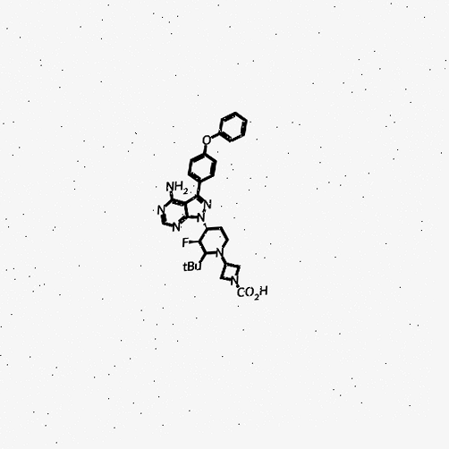 CC(C)(C)C1[C@@H](F)[C@H](n2nc(-c3ccc(Oc4ccccc4)cc3)c3c(N)ncnc32)CCN1C1CN(C(=O)O)C1